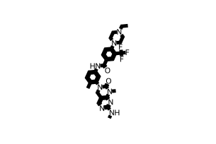 CCN1CCN(c2ccc(C(=O)Nc3ccc(C)c(N4Cc5cnc(NC)nc5N(C)C4=O)c3)cc2C(F)(F)F)CC1